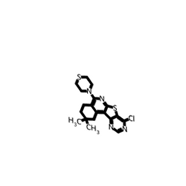 CC1(C)CCc2c(N3CCSCC3)nc3sc4c(Cl)ncnc4c3c2C1